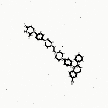 O=C1CCN(c2ccc(N3CCN(CCN4CCN(c5ccc([C@@H]6c7ccc(O)cc7CC[C@@H]6c6ccccc6)cc5)CC4)CC3)cc2)C(=O)N1